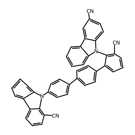 N#Cc1ccc2c(c1)c1ccccc1n2-c1c(C#N)cccc1-c1ccc(-c2ccc(-n3c4ccccc4c4cccc(C#N)c43)cc2)cc1